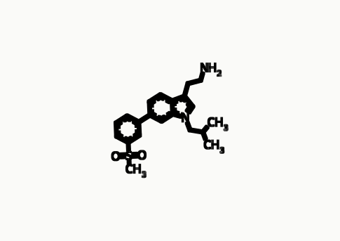 CC(C)Cn1cc(CCN)c2ccc(-c3cccc(S(C)(=O)=O)c3)cc21